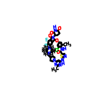 [2H]C1([2H])N(CC2CCN(c3cc(Nc4ncc(C(=O)Nc5c(C)cccc5Cl)s4)nc(C)n3)CC2)C([2H])([2H])C([2H])([2H])N(c2cc3c(c(F)c2F)C(=O)N(C2CCC(=O)NC2=O)C3=O)C1([2H])[2H]